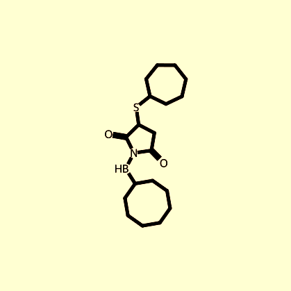 O=C1CC(SC2CCCCCC2)C(=O)N1BC1CCCCCCC1